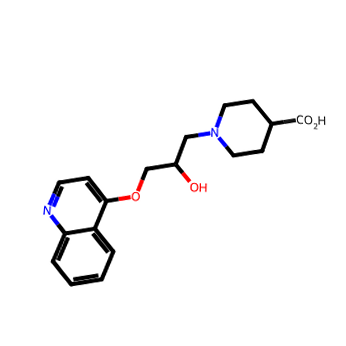 O=C(O)C1CCN(CC(O)COc2ccnc3ccccc23)CC1